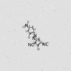 [C-]#[N+]c1sc(N=Nc2ccc(N(C)C)cc2C)c(C#N)c1C